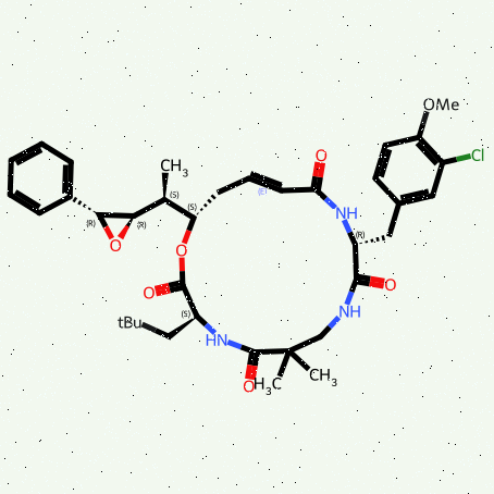 COc1ccc(C[C@H]2NC(=O)/C=C/C[C@@H]([C@H](C)[C@H]3O[C@@H]3c3ccccc3)OC(=O)[C@H](CC(C)(C)C)NC(=O)C(C)(C)CNC2=O)cc1Cl